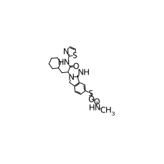 CNOOSc1ccc2c(c1)C(=N)N(C(CC1CCCCC1)C(=O)Nc1nccs1)C2